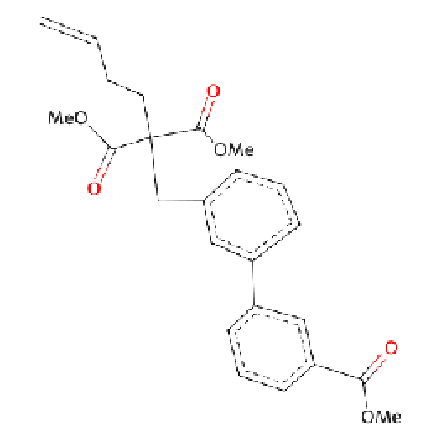 C=CCCC(Cc1cccc(-c2cccc(C(=O)OC)c2)c1)(C(=O)OC)C(=O)OC